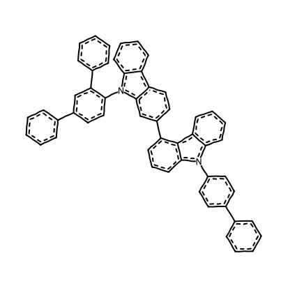 c1ccc(-c2ccc(-n3c4ccccc4c4c(-c5ccc6c7ccccc7n(-c7ccc(-c8ccccc8)cc7-c7ccccc7)c6c5)cccc43)cc2)cc1